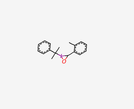 Cc1ccccc1C1OI1C(C)(C)c1ccccc1